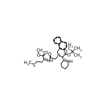 COC(=O)[C@H](CCSC)NC(=O)CN(Cc1cccc2ccccc12)C(C(=O)OC(C)(C)C)[C@@H]1CCCCN1